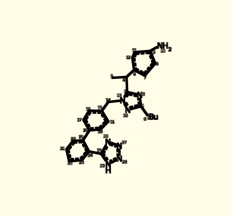 CCC(C)c1nc(C(C)c2ccc(N)cc2)n(Cc2ccc(-c3ccccc3-c3nnn[nH]3)cc2)n1